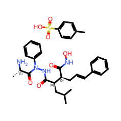 CC(C)C[C@@H](C(=O)NN(C(=O)[C@H](C)N)c1ccccc1)[C@H](CC=Cc1ccccc1)C(=O)NO.Cc1ccc(S(=O)(=O)O)cc1